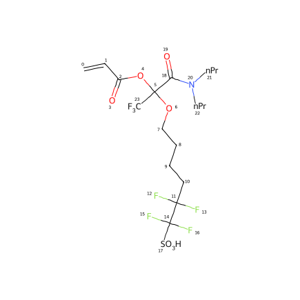 C=CC(=O)OC(OCCCCC(F)(F)C(F)(F)S(=O)(=O)O)(C(=O)N(CCC)CCC)C(F)(F)F